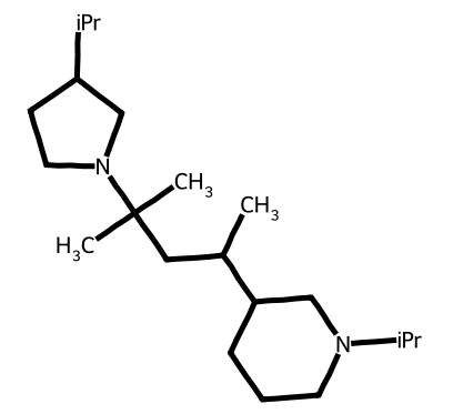 CC(C)C1CCN(C(C)(C)CC(C)C2CCCN(C(C)C)C2)C1